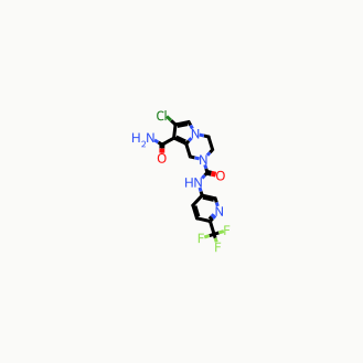 NC(=O)c1c(Cl)cn2c1CN(C(=O)Nc1ccc(C(F)(F)F)nc1)CC2